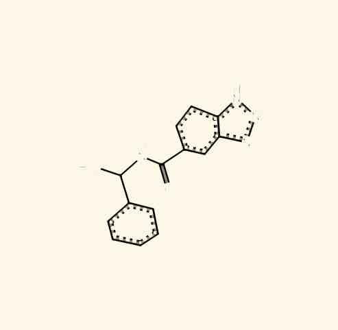 CC(NC(=O)c1ccc2[nH]nnc2c1)c1ccccc1